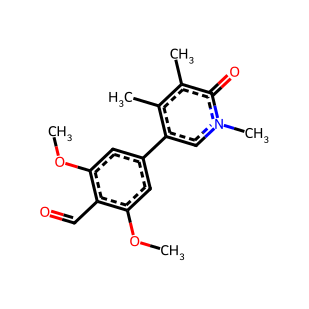 COc1cc(-c2cn(C)c(=O)c(C)c2C)cc(OC)c1C=O